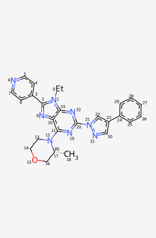 CCn1c(-c2ccncc2)nc2c(N3CCOC[C@H]3C)nc(-n3cc(-c4ccccc4)cn3)nc21